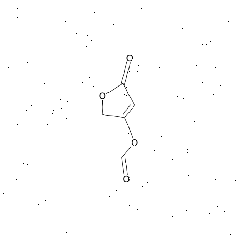 O=COC1=CC(=O)OC1